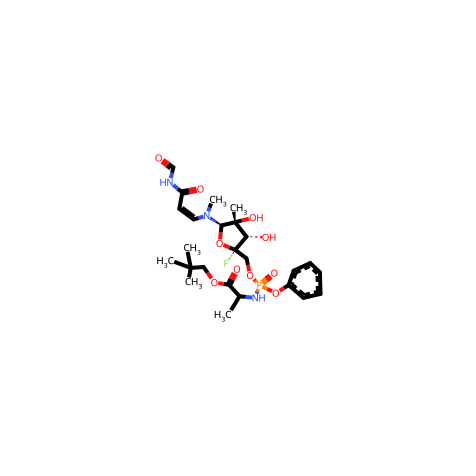 CC(NP(=O)(OC[C@@]1(F)O[C@@H](N(C)/C=C\C(=O)NC=O)[C@](C)(O)[C@@H]1O)Oc1ccccc1)C(=O)OCC(C)(C)C